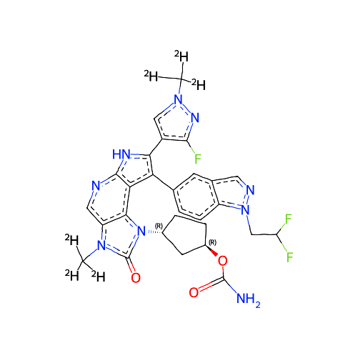 [2H]C([2H])([2H])n1cc(-c2[nH]c3ncc4c(c3c2-c2ccc3c(cnn3CC(F)F)c2)n([C@@H]2CC[C@@H](OC(N)=O)C2)c(=O)n4C([2H])([2H])[2H])c(F)n1